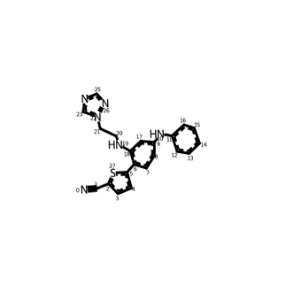 N#Cc1ccc(-c2ccc(Nc3ccccc3)cc2NCCn2cncn2)s1